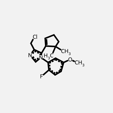 COc1ccc(F)c(-n2cnc(CCl)c2C2=CCCC2(C)C)c1